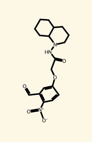 O=Cc1cc(OCC(=O)NN2CCCC3CCCCC32)ccc1[N+](=O)[O-]